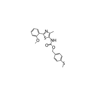 COc1ccccc1-c1nc(C)c(NC(=O)OCc2ccc(SC)cc2)s1